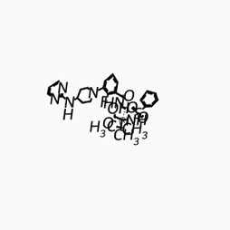 CC(C)(C)[C@](CNC(=O)c1cccc(N2CCC(Nc3ncccn3)CC2)c1F)(NS(=O)(=O)c1ccccc1)C(=O)O